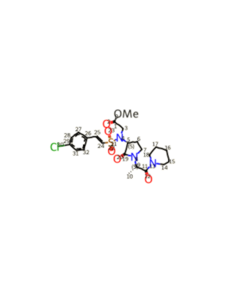 COC(=O)CN([C@H]1CCN([C@@H](C)C(=O)N2CCCCC2)C1=O)S(=O)(=O)C=Cc1ccc(Cl)cc1